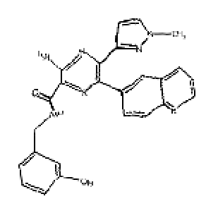 Cn1ccc(-c2nc(N)c(C(=O)NCc3cccc(O)c3)nc2-c2ccc3ncccc3c2)n1